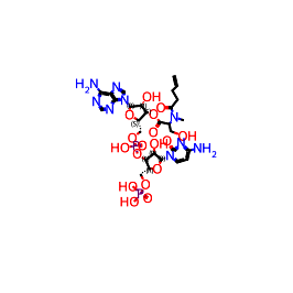 C=CCCC(=O)N(C)C(CO)C(=O)O[C@H]1[C@@H](O)[C@H](n2cnc3c(N)ncnc32)O[C@H]1COP(=O)(O)O[C@H]1[C@@H](O)[C@H](n2ccc(N)nc2=O)O[C@@H]1COP(=O)(O)O